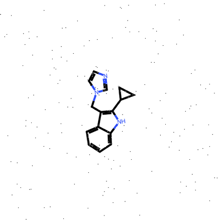 c1ccc2c(Cn3ccnc3)c(C3CC3)[nH]c2c1